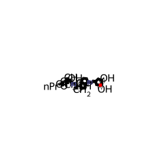 C=C(/C=C/[C@@H](O)C(C)(C)OC(=O)OCCC)[C@H]1CC[C@H]2/C(=C/C=C3C[C@@H](O)C[C@H](O)C3)CCC[C@]12C